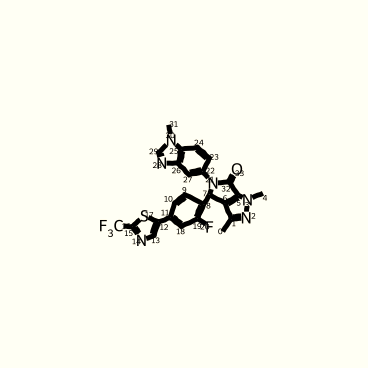 Cc1nn(C)c2c1C(c1ccc(-c3cnc(C(F)(F)F)s3)cc1F)N(c1ccc3c(c1)ncn3C)C2=O